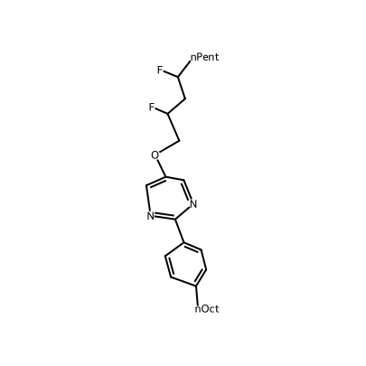 CCCCCCCCc1ccc(-c2ncc(OCC(F)CC(F)CCCCC)cn2)cc1